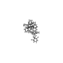 Cc1cccc(C)c1OCC(=O)NC(Cc1ccccc1)C(O)C[C@H](Cc1ccccc1)NC(=O)C(C(C)C)N1CCCNC1=O